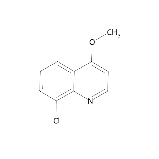 COc1ccnc2c(Cl)cccc12